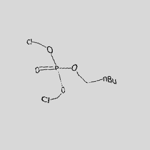 CCCCCOP(=O)(OCl)OCl